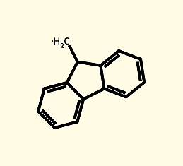 [CH2]C1c2ccccc2-c2ccccc21